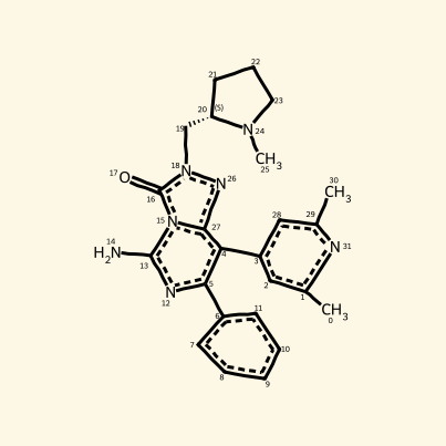 Cc1cc(-c2c(-c3ccccc3)nc(N)n3c(=O)n(C[C@@H]4CCCN4C)nc23)cc(C)n1